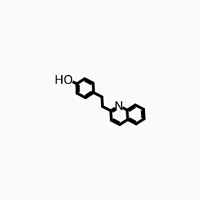 Oc1ccc(CCc2ccc3ccccc3n2)cc1